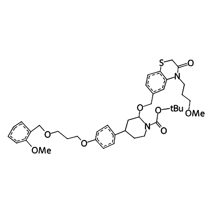 COCCCN1C(=O)CSc2ccc(COC3CC(c4ccc(OCCCOCc5ccccc5OC)cc4)CCN3C(=O)OC(C)(C)C)cc21